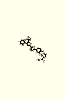 O=C(O)c1ccn(Cc2ccc(-c3noc(-c4cc(-c5ccccc5)c(C(F)(F)F)s4)n3)cc2Cl)n1